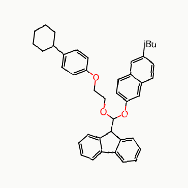 CCC(C)c1ccc2cc(OC(OCCOc3ccc(C4CCCCC4)cc3)C3c4ccccc4-c4ccccc43)ccc2c1